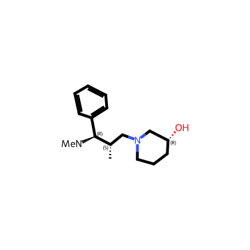 [CH2-][NH2+][C@@H](c1ccccc1)[C@@H](C)CN1CCC[C@@H](O)C1